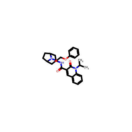 CC(C)n1c(=O)c(C(=O)NC2CC3CCC(C2)N3CCOc2ccccc2)cc2ccccc21